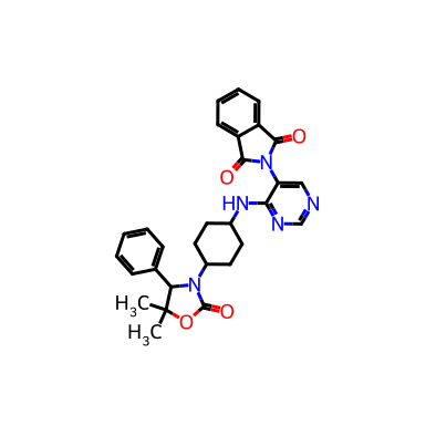 CC1(C)OC(=O)N(C2CCC(Nc3ncncc3N3C(=O)c4ccccc4C3=O)CC2)C1c1ccccc1